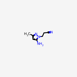 Cc1cc(N)n(CCC#N)n1